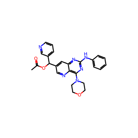 CC(=O)OC(c1cccnc1)c1cnc2c(N3CCOCC3)nc(Nc3ccccc3)nc2c1